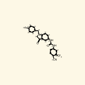 N#Cc1ccc(NC(=O)Nc2ccc3c(c2)C(=O)CN3Cc2ccc(F)cc2)cc1C(F)(F)F